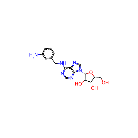 Nc1cccc(CNc2ncnc3c2ncn3[C@@H]2O[C@H](CO)[C@H](O)C2O)c1